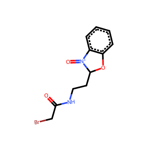 O=C(CBr)NCCC1Oc2ccccc2[N+]1=O